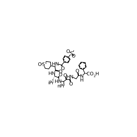 CCCC(NC(=O)[C@H](CC(C)C)NC(=O)[C@@H](NC(=O)c1ccc(S(C)(=O)=O)cc1)C1CC[S+]([O-])CC1)C(=O)C(=O)NCC(=O)N[C@H](C(=O)O)c1ccccc1